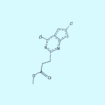 COC(=O)CCc1nc(Cl)c2cc(Cl)sc2n1